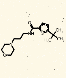 CC(C)(C)c1ccc(C(=O)NCCCN2CCOCC2)s1